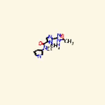 CCN(C(=O)c1cnc(C2=NOC(C)N2)n1C)c1cccnc1